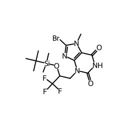 Cn1c(Br)nc2c1c(=O)[nH]c(=O)n2CC(O[Si](C)(C)C(C)(C)C)C(F)(F)F